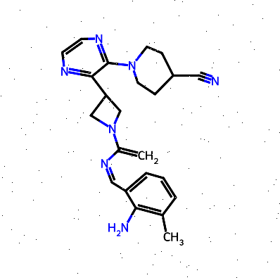 C=C(/N=C\c1cccc(C)c1N)N1CC(c2nccnc2N2CCC(C#N)CC2)C1